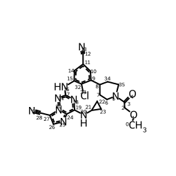 COCC(=O)N1CCC(c2cc(C#N)cc(Nc3nc(NC4CC4)c4ncc(C#N)n4n3)c2Cl)CC1